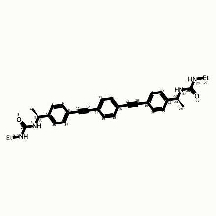 CCNC(=O)N[C@@H](C)c1ccc(C#Cc2ccc(C#Cc3ccc([C@H](C)NC(=O)NCC)cc3)cc2)cc1